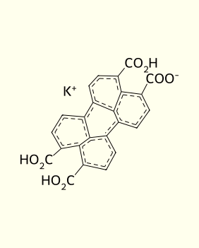 O=C([O-])c1ccc2c3ccc(C(=O)O)c4c(C(=O)O)ccc(c5ccc(C(=O)O)c1c25)c43.[K+]